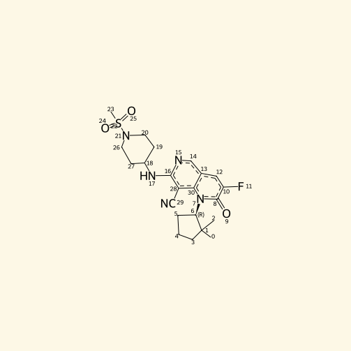 CC1(C)CCC[C@H]1n1c(=O)c(F)cc2cnc(NC3CCN(S(C)(=O)=O)CC3)c(C#N)c21